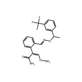 CC(O/N=C/c1ccccc1/C(=C/ON)C(N)=O)c1cccc(C(F)(F)F)c1